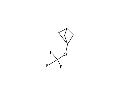 FC(F)(F)OC12CC(C1)C2